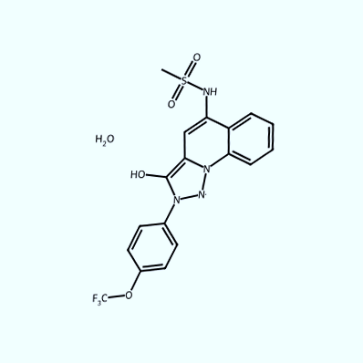 CS(=O)(=O)NC1=CC2=C(O)N(c3ccc(OC(F)(F)F)cc3)[N]N2c2ccccc21.O